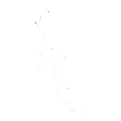 CCCCCCc1ccc(C#Cc2c(F)cc(C#CN=C=S)cc2F)cc1